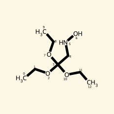 CCOC(CNO)(OCC)OCC